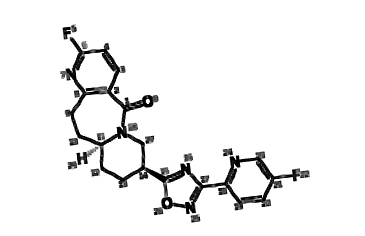 O=C1c2ccc(F)nc2CC[C@@H]2CC[C@H](c3nc(-c4ccc(F)cn4)no3)CN12